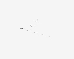 C=CCC(CCCCCCBr)C(=O)OC(C)(C)C